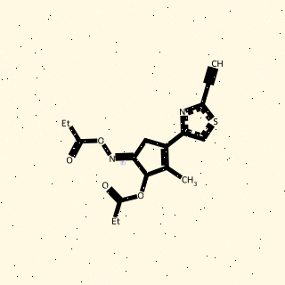 C#Cc1nc(C2=C(C)C(OC(=O)CC)/C(=N/OC(=O)CC)C2)cs1